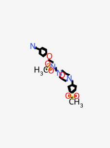 CS(=O)(=O)c1ccc(CN2CC3CN(CCN(CCOc4ccc(C#N)cc4)S(C)(=O)=O)CC(C2)O3)cc1